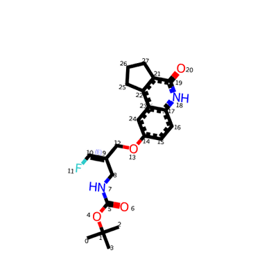 CC(C)(C)OC(=O)NC/C(=C\F)COc1ccc2[nH]c(=O)c3c(c2c1)CCC3